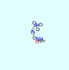 CC(C)C(=O)Nc1cccc(C2CCN(CCCc3c(-c4ccccc4)n(-c4ccccc4)c4ccccc34)CC2)c1